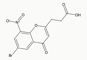 O=C(O)CCc1cc(=O)c2cc(Br)cc([N+](=O)[O-])c2o1